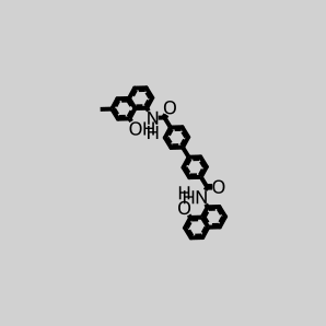 Cc1cc(O)c2c(NC(=O)c3ccc(-c4ccc(C(=O)Nc5cccc6cccc(O)c56)cc4)cc3)cccc2c1